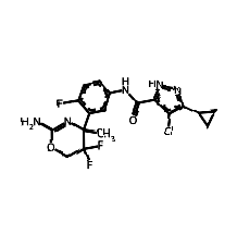 CC1(c2cc(NC(=O)c3[nH]nc(C4CC4)c3Cl)ccc2F)N=C(N)OCC1(F)F